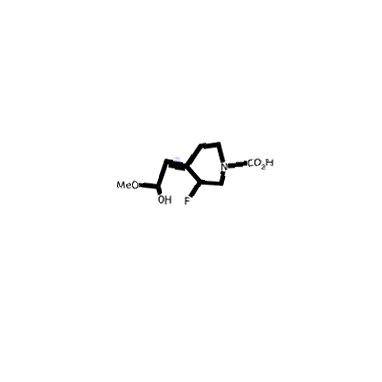 COC(O)/C=C1/CCN(C(=O)O)CC1F